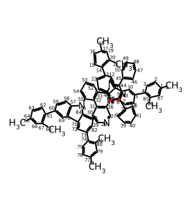 Cc1ccc(-c2ccc3c(c2)c2cc(-c4ccc(C)cc4C)ccc2n3-c2cnccc2-c2c(-c3nc(-c4ccccc4)nc(-c4ccccc4)n3)cccc2-n2c3ccc(-c4ccc(C)cc4C)cc3c3cc(-c4ccc(C)cc4C)ccc32)c(C)c1